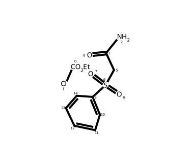 CCOC(=O)Cl.NC(=O)CS(=O)(=O)c1ccccc1